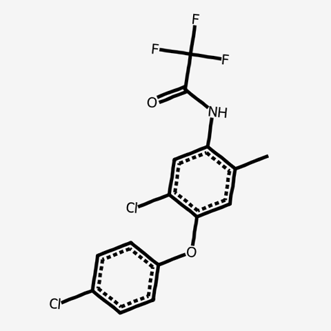 Cc1cc(Oc2ccc(Cl)cc2)c(Cl)cc1NC(=O)C(F)(F)F